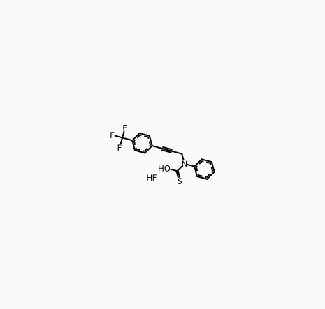 F.OC(=S)N(CC#Cc1ccc(C(F)(F)F)cc1)c1ccccc1